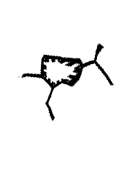 [CH2]c1ccc(C(C)C)cc1CC